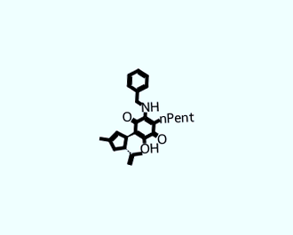 C=C(C)[C@@H]1CC(C)=C[C@H]1C1=C(O)C(=O)C(CCCCC)=C(NCc2ccccc2)C1=O